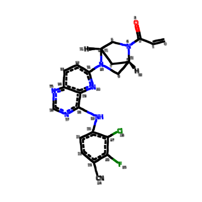 C=CC(=O)N1C[C@@H]2C[C@H]1CN2c1ccc2ncnc(Nc3ccc(C#N)c(F)c3Cl)c2n1